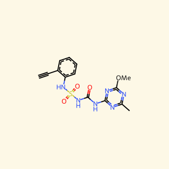 C#Cc1ccccc1NS(=O)(=O)NC(=O)Nc1nc(C)nc(OC)n1